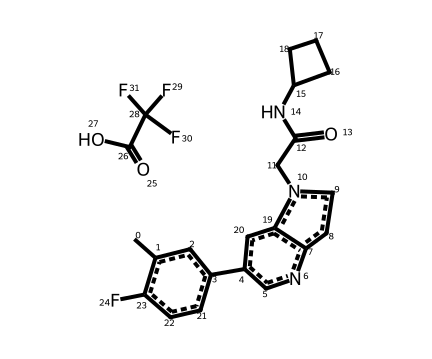 Cc1cc(-c2cnc3ccn(CC(=O)NC4CCC4)c3c2)ccc1F.O=C(O)C(F)(F)F